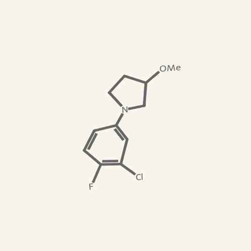 COC1CCN(c2ccc(F)c(Cl)c2)C1